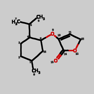 CC1CCC(C(C)C)C(OC2=CCOC2=O)C1